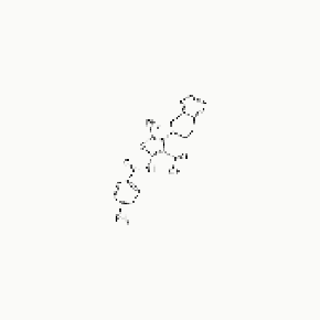 O=C(Nc1sc(P)c(C2CCc3ccccc3C2)c1C(=O)O)c1ccc(P)cc1